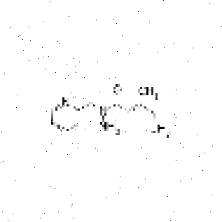 CC/C(C)=C/C(=O)N(N)Cc1ccccn1